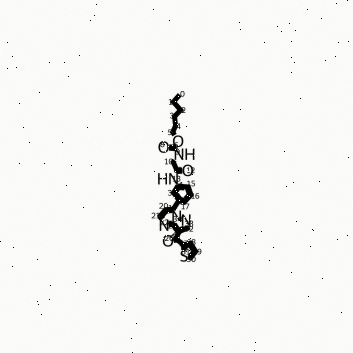 CCCCCCOC(=O)NCC(=O)Nc1cccc(-c2ccnc3c(C(=O)c4cccs4)cnn23)c1